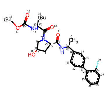 C[C@H](NC(=O)[C@@H]1C[C@@H](O)CN1C(=O)[C@@H](NC(=O)OC(C)(C)C)C(C)(C)C)c1ccc(-c2ccccc2F)cc1